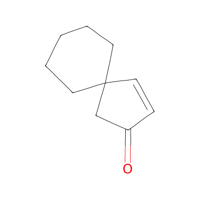 O=C1C=CC2(CCCCC2)C1